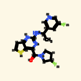 CC(Nc1nc(C(=O)N2CCC(F)C2)c2sccc2n1)c1cncc(F)c1